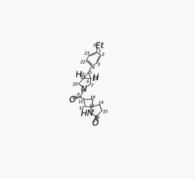 CCc1ccc(C2[C@H]3CN(C(=O)C4CC5(CCC(=O)N5)C4)C[C@@H]23)cc1